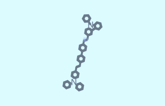 C(=Cc1ccc(N(c2ccccc2)c2ccccc2)cc1)c1ccc(-c2ccc(/C=C/c3ccc4c(c3)c3ccccc3n4-c3ccccc3)cc2)cc1